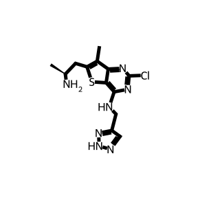 Cc1c(C[C@H](C)N)sc2c(NCc3cn[nH]n3)nc(Cl)nc12